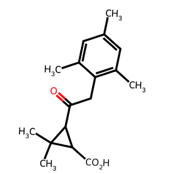 Cc1cc(C)c(CC(=O)C2C(C(=O)O)C2(C)C)c(C)c1